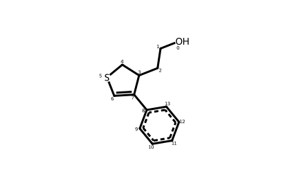 OCCC1CSC=C1c1ccccc1